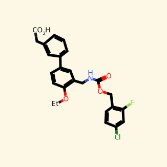 CCOc1ccc(-c2cccc(CC(=O)O)c2)cc1CNC(=O)OCc1ccc(Cl)cc1F